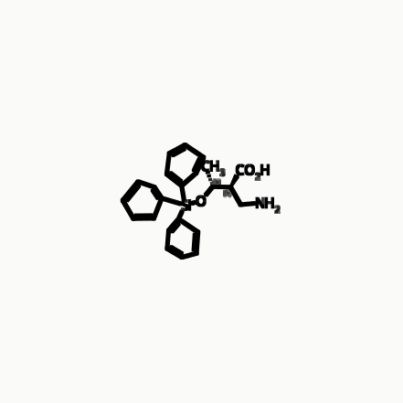 C[C@@H](O[Si](c1ccccc1)(c1ccccc1)c1ccccc1)[C@H](CN)C(=O)O